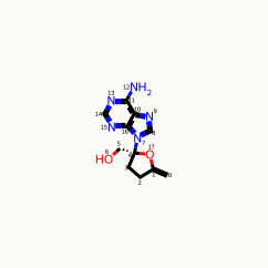 C=C1CC[C@@](CO)(n2cnc3c(N)ncnc32)O1